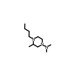 CCCCN1CCN(N(C)C)CC1C